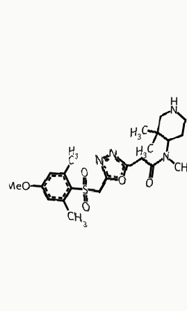 COc1cc(C)c(S(=O)(=O)Cc2nnc(CC(=O)N(C)C3CCNCC3(C)C)o2)c(C)c1